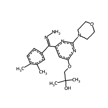 Cc1ccc(C(=NN)c2cc(OCC(C)(C)O)nc(N3CCOCC3)n2)cc1C